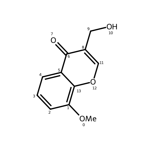 COc1cccc2c(=O)c(CO)coc12